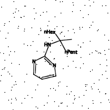 CCCCCCC(C)(CCCCC)Nc1ncccn1